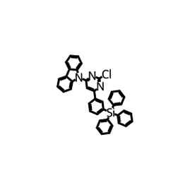 Clc1nc(-c2cccc([Si](c3ccccc3)(c3ccccc3)c3ccccc3)c2)cc(-n2c3ccccc3c3ccccc32)n1